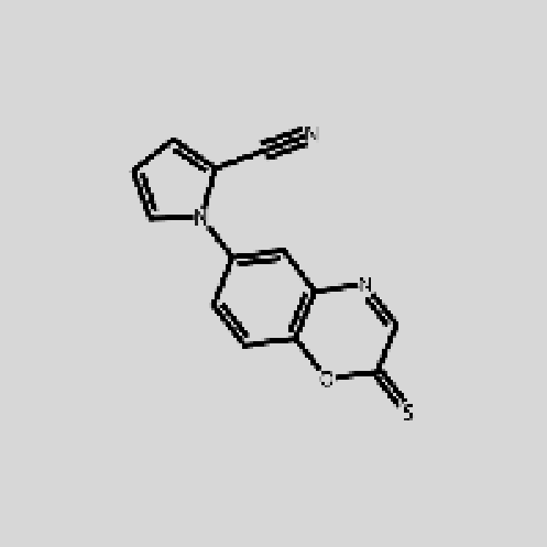 N#Cc1cccn1-c1ccc2oc(=S)cnc2c1